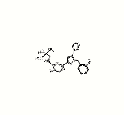 O=C(O)C(O)(CNc1nc(-c2cc(-c3ccon3)n(Cc3ccccc3F)n2)ncc1F)C(F)(F)F